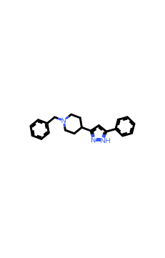 c1ccc(CN2CCC(c3cc(-c4ccccc4)[nH]n3)CC2)cc1